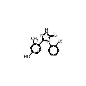 CCc1ccccc1-n1c(-c2ccc(O)cc2C)n[nH]c1=S